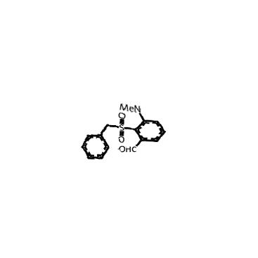 CNc1cccc([C]=O)c1S(=O)(=O)Cc1ccccc1